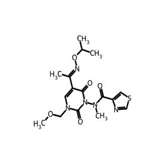 COCn1cc(/C(C)=N/OC(C)C)c(=O)n(N(C)C(=O)c2cscn2)c1=O